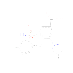 CC1CCN(c2cc(C(=O)O)cc(S(N)(=O)=O)c2Cc2ccc(Cl)cc2)C1